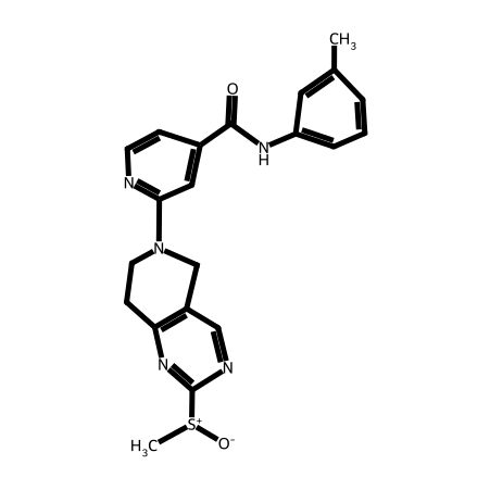 Cc1cccc(NC(=O)c2ccnc(N3CCc4nc([S+](C)[O-])ncc4C3)c2)c1